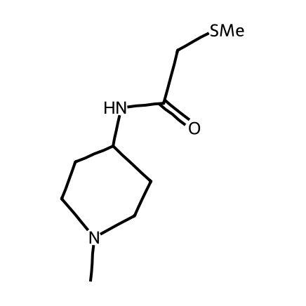 CSCC(=O)NC1CCN(C)CC1